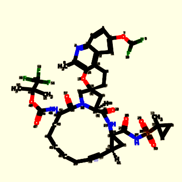 Cc1nc2ccc(OC(F)F)cc2c2c1O[C@]1(CC2)C[C@H]2C(=O)N[C@]3(C(=O)NS(=O)(=O)C4(C)CC4)C[C@H]3/C=C\CCCCC[C@H](NC(=O)OC(C)(C)C(F)(F)F)C(=O)N2C1